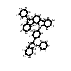 c1ccc(-n2c(-c3ccc(-n4c5ccccc5c5ccc6c(c7ccccc7n6-c6ccccc6)c54)cc3)nc3ccccc32)cc1